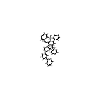 CC1(c2ccccc2)c2ccccc2Sc2c1ccc1c2-c2ccc(-c3cccc(-c4ccccn4)c3)cc2C1(C)c1ccccc1